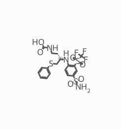 NS(=O)(=O)c1ccc(N[C@@H](CCNC(=O)O)CSc2ccccc2)c(S(=O)(=O)C(F)(F)F)c1